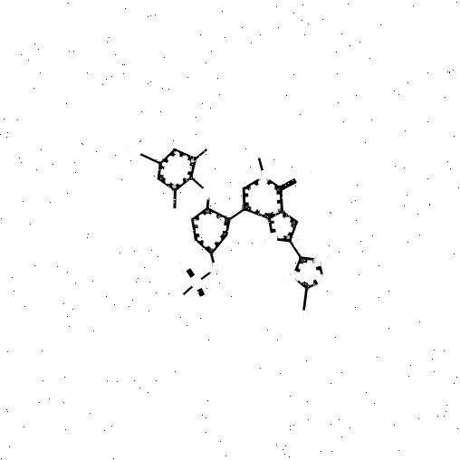 CCS(=O)(=O)Nc1ccc(Oc2c(C)cc(F)cc2C)c(-c2cn(C)c(=O)c3cc(-c4noc(C)n4)sc23)c1